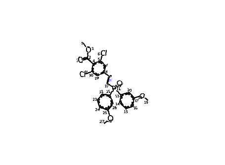 COC(=O)c1c(Cl)cc(/C=C/P(=O)(c2cccc(OC)c2)c2cccc(OC)c2)cc1Cl